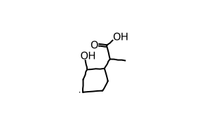 CC(C(=O)O)C1CC[CH]CC1O